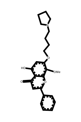 COc1c(OCCCCN2CCCC2)cc(O)c2c(=O)cc(-c3ccccc3)oc12